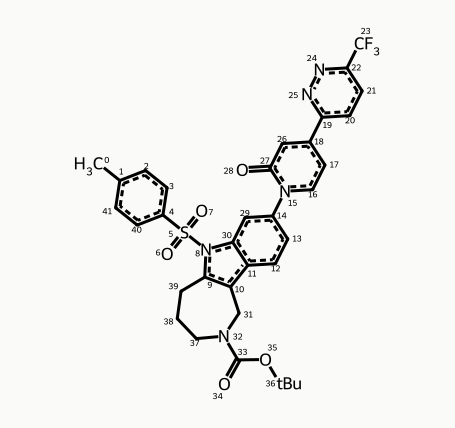 Cc1ccc(S(=O)(=O)n2c3c(c4ccc(-n5ccc(-c6ccc(C(F)(F)F)nn6)cc5=O)cc42)CN(C(=O)OC(C)(C)C)CCC3)cc1